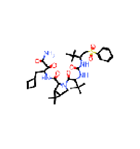 CC(C)(C)C(CS(=O)(=O)c1ccccc1)NC(=O)N[C@H](C(=O)N1CC2C(C1C(=O)NC(CC1CCC1)C(=O)C(N)=O)C2(C)C)C(C)(C)C